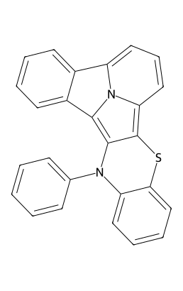 c1ccc(N2c3ccccc3Sc3c2c2c4ccccc4c4cccc3n42)cc1